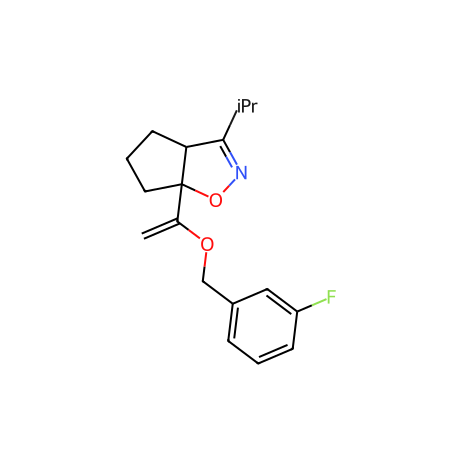 C=C(OCc1cccc(F)c1)C12CCCC1C(C(C)C)=NO2